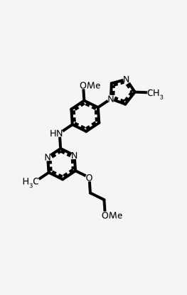 COCCOc1cc(C)nc(Nc2ccc(-n3cnc(C)c3)c(OC)c2)n1